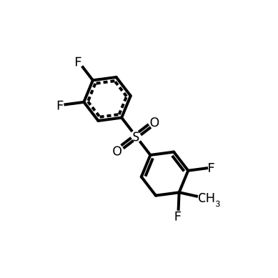 CC1(F)CC=C(S(=O)(=O)c2ccc(F)c(F)c2)C=C1F